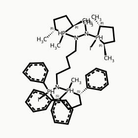 C[C@@H]1CC[C@@H](C)[PH]1(C)N(CCCCN([PH](I)(c1ccccc1)c1ccccc1)[PH]1(C)[C@H](c2ccccc2)CC[C@H]1c1ccccc1)N(C)[PH]1(I)[C@H](C)CC[C@H]1C